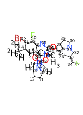 [2H]C([2H])([2H])c1cc2c(N3C[C@H]4CC[C@@H](C3)N4C(=O)OC(C)(C)C)nc(OC[C@@]34CCCN3C/C(=C\F)C4)nc2c(F)c1Br